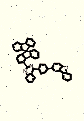 c1ccc2c(c1)-c1ccccc1C21c2ccccc2-c2c(-c3nc(-c4ccc(-c5ccc6oc7ccccc7c6c5)cc4)c4ccccc4n3)cccc21